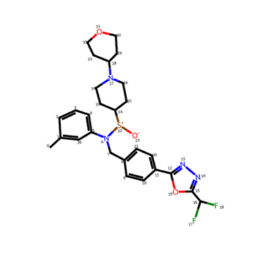 Cc1cccc(N(Cc2ccc(-c3nnc(C(F)F)o3)cc2)[S+]([O-])C2CCN(C3CCOCC3)CC2)c1